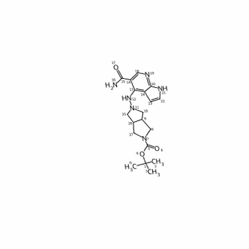 CC(C)(C)OC(=O)N1CC2CN(Nc3c(C(N)=O)cnc4[nH]ccc34)CC2C1